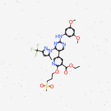 CCOC(=O)c1cc(-c2cnc(Nc3cc(OC)cc(OC)c3)nc2-n2nc(C(F)(F)F)cc2C)cnc1OCCCS(C)(=O)=O